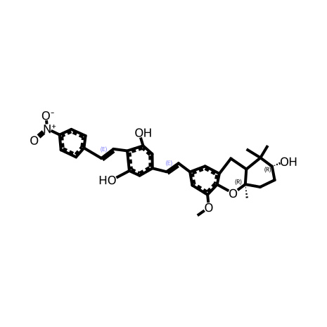 COc1cc(/C=C/c2cc(O)c(/C=C/c3ccc([N+](=O)[O-])cc3)c(O)c2)cc2c1O[C@]1(C)CC[C@@H](O)C(C)(C)C1C2